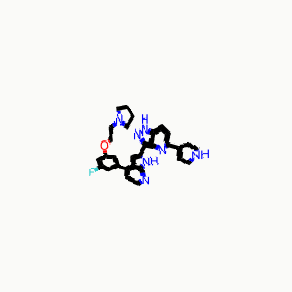 Fc1cc(OCCN2CCCC2)cc(-c2ccnc3[nH]c(-c4n[nH]c5ccc(C6=CCNCC6)nc45)cc23)c1